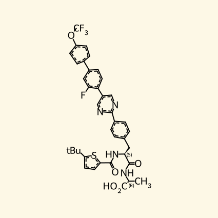 C[C@@H](NC(=O)[C@H](Cc1ccc(-c2ncc(-c3ccc(-c4ccc(OC(F)(F)F)cc4)cc3F)cn2)cc1)NC(=O)c1ccc(C(C)(C)C)s1)C(=O)O